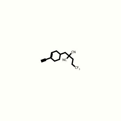 C#CC1=CCC(CC(C#N)(C#N)CCC(F)(F)F)CC1